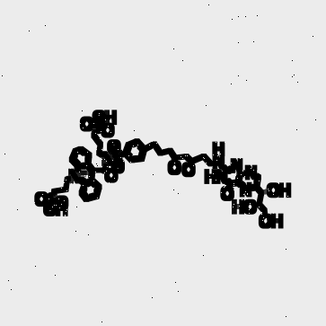 O=C(CCCc1ccc(S(=O)(=O)N(CCCS(=O)(=O)O)C(=O)c2c3ccccc3[n+](CCCS(=O)(=O)O)c3ccccc23)cc1)CC(=O)CCNc1nc2ncc([C@H](O)[C@H](O)CO)nc2c(=O)[nH]1